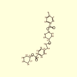 Cc1ccc(C(=O)OC2CCC(OCCc3ccc(C(=O)OC4CCCCC4)cc3)CC2)cc1